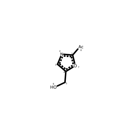 CC(=O)c1ncc(CO)o1